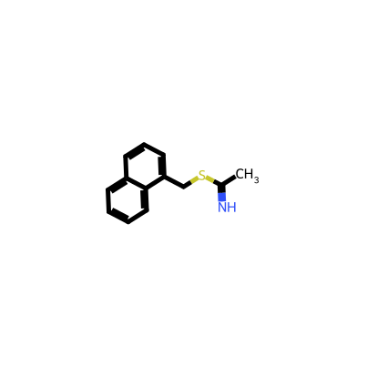 CC(=N)SCc1cccc2ccccc12